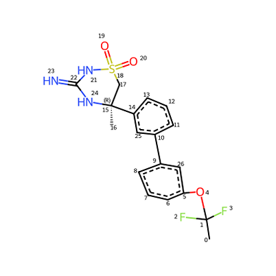 CC(F)(F)Oc1cccc(-c2cccc([C@]3(C)CS(=O)(=O)NC(=N)N3)c2)c1